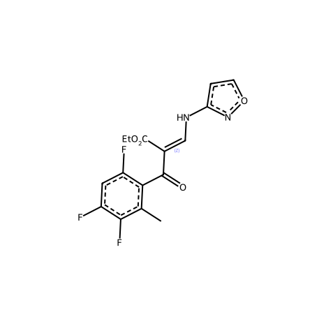 CCOC(=O)/C(=C\Nc1ccon1)C(=O)c1c(F)cc(F)c(F)c1C